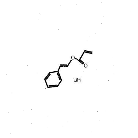 C=CC(=O)OC=Cc1ccccc1.[LiH]